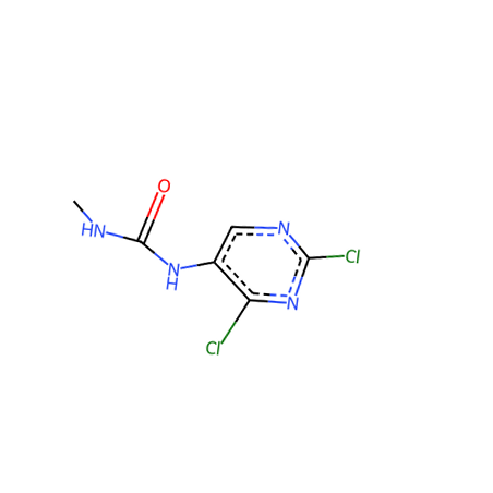 CNC(=O)Nc1cnc(Cl)nc1Cl